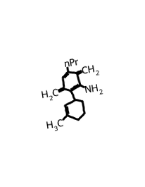 C=c1cc(CCC)c(=C)c(N)c1C1C=C(C)CCC1